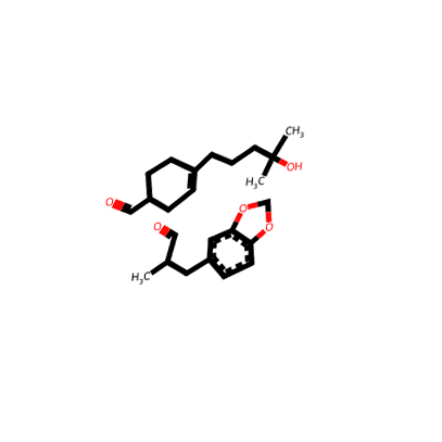 CC(C)(O)CCCC1=CCC(C=O)CC1.CC(C=O)Cc1ccc2c(c1)OCO2